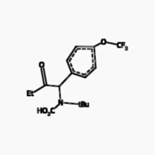 CCC(=O)C(c1ccc(OC(F)(F)F)cc1)N(C(=O)O)C(C)(C)C